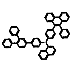 c1ccc(-c2ccc(-c3ccc(N(c4ccc(-c5c(-c6ccccc6)c6ccccc6c6ccccc56)cc4)c4cccc5ccccc45)cc3)cc2-c2ccccc2)cc1